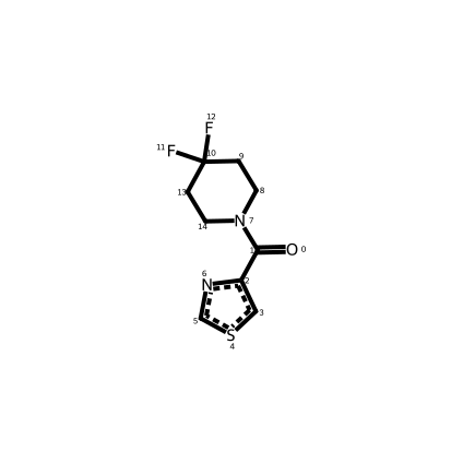 O=C(c1cscn1)N1CCC(F)(F)CC1